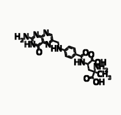 CC(N)(CC(NC(=O)c1ccc(NCc2cnc3nc(N)[nH]c(=O)c3n2)cc1)C(=O)O)C(=O)O